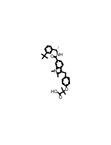 Cc1c(Cc2ccc(OC(C)(C)C(=O)O)cc2)c2ccc(C(=O)N[C@@H](C)c3cccc(C(C)(C)C)c3)cc2n1C